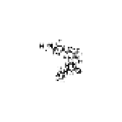 Cc1cc(C(=O)CN2c3nc(N4CC5CC4CO5)cc(=O)n3CC[C@H]2C(F)(F)F)cnc1N